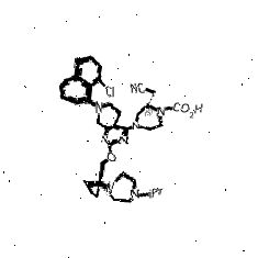 CC(C)N1CCN(C2(COc3nc4c(c(N5CCN(C(=O)O)[C@@H](CC#N)C5)n3)CCN(c3cccc5cccc(Cl)c35)C4)CC2)CC1